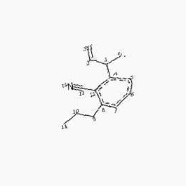 [CH2]C(C=C)c1cccc(CCC)c1C#N